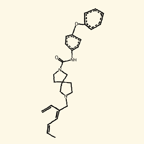 C=C/C(=C\C=C/C)CN1CCC2(CCN(C(=O)Nc3ccc(Oc4ccccc4)cc3)C2)C1